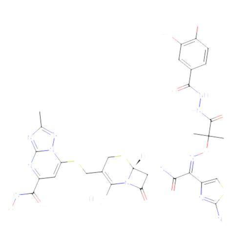 Cc1nc2nc(C(=O)NO)cc(SCC3=C(C(=O)O)N4C(=O)[C@@H](NC(=O)C(=NOC(C)(C)C(=O)NNC(=O)c5ccc(O)c(O)c5)c5csc(N)n5)[C@H]4SC3)n2n1